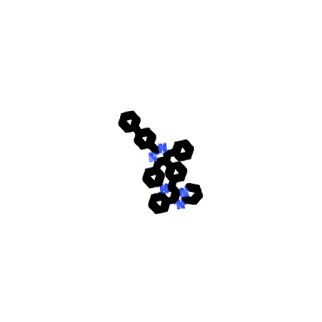 c1ccc(-c2ccc(-c3nc(-c4ccccc4)c(-c4cccc(-c5nc6ccccc6c6nc7ccccn7c56)c4)c(-c4ccccc4)n3)cc2)cc1